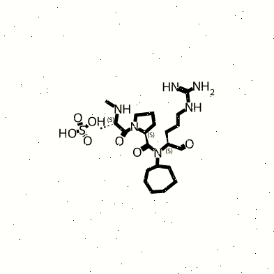 CN[C@@H](C)C(=O)N1CCC[C@H]1C(=O)N(C1CCCCCC1)[C@H](C=O)CCCNC(=N)N.O=S(=O)(O)O